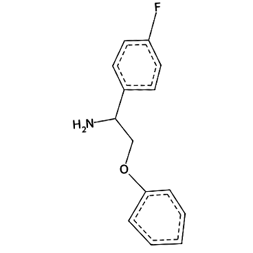 NC(COc1ccccc1)c1ccc(F)cc1